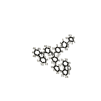 c1ccc(-c2ccc(-c3ccc(N(c4ccc(-c5cccc(-c6cccc7oc8ccccc8c67)c5)cc4)c4cccc(-n5c6ccccc6c6ccccc65)c4)cc3)cc2)cc1